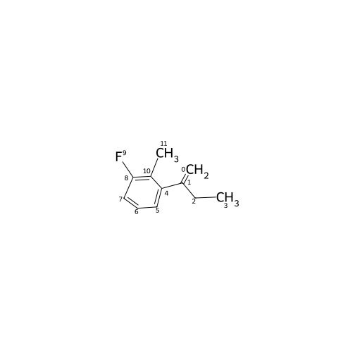 C=C(CC)c1cccc(F)c1C